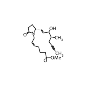 CC#CC[C@H](C)[C@H](O)/C=C/[C@H]1CCC(=O)N1C/C=C\CCCC(=O)OC